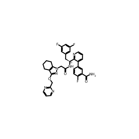 NC(=O)c1cc(-c2cccnc2[C@H](Cc2cc(F)cc(F)c2)NC(=O)Cn2nc(OCc3ncccn3)c3c2CCCC3)ccc1F